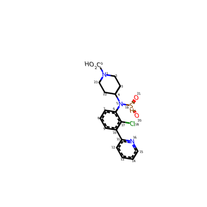 O=C(O)N1CCC(N(c2cccc(-c3ccccn3)c2Cl)[SH](=O)=O)CC1